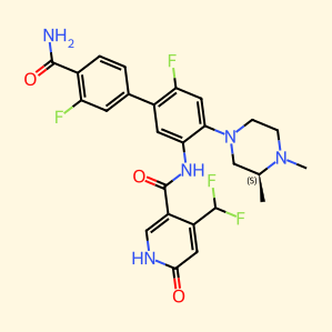 C[C@H]1CN(c2cc(F)c(-c3ccc(C(N)=O)c(F)c3)cc2NC(=O)c2c[nH]c(=O)cc2C(F)F)CCN1C